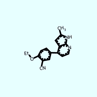 CCOc1ccc(-c2ccnc3[nH]c(C)cc23)cc1C#N